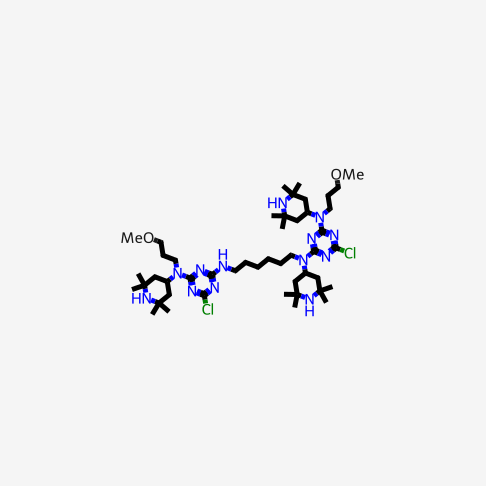 COCCCN(c1nc(Cl)nc(NCCCCCCN(c2nc(Cl)nc(N(CCCOC)C3CC(C)(C)NC(C)(C)C3)n2)C2CC(C)(C)NC(C)(C)C2)n1)C1CC(C)(C)NC(C)(C)C1